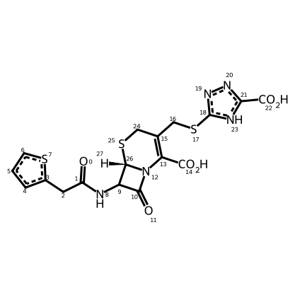 O=C(Cc1cccs1)NC1C(=O)N2C(C(=O)O)=C(CSc3nnc(C(=O)O)[nH]3)CS[C@@H]12